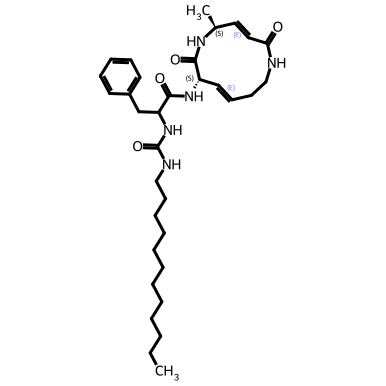 CCCCCCCCCCCCNC(=O)NC(Cc1ccccc1)C(=O)N[C@H]1/C=C/CCNC(=O)/C=C/[C@H](C)NC1=O